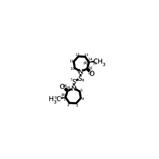 C[C@@H]1CCCCN(SSN2CCCC[C@@H](C)C2=O)C1=O